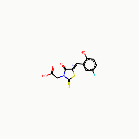 O=C(O)CN1C(=O)/C(=C/c2cc(F)ccc2O)SC1=S